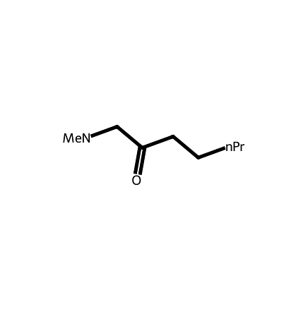 CCCCCC(=O)CNC